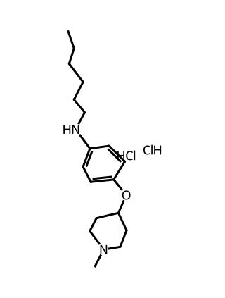 CCCCCCNc1ccc(OC2CCN(C)CC2)cc1.Cl.Cl